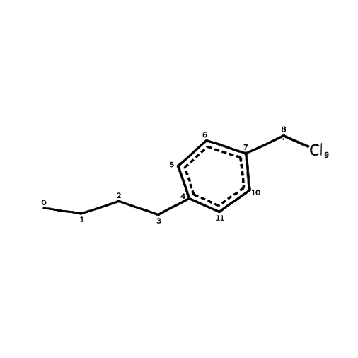 CCCCc1ccc([CH]Cl)cc1